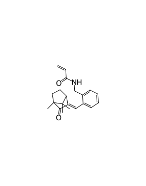 C=CC(=O)NCc1ccccc1C=C1C(=O)C2(C)CCC1C2(C)C